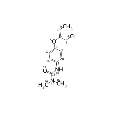 CC=C(CCl)Oc1ccc(NC(=O)N(C)C)cc1